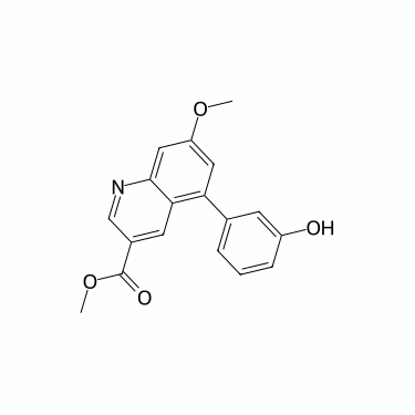 COC(=O)c1cnc2cc(OC)cc(-c3cccc(O)c3)c2c1